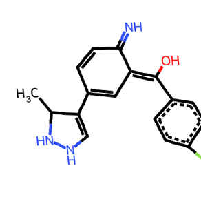 CC1NNC=C1C1=C/C(=C(/O)c2ccc(F)cc2)C(=N)C=C1